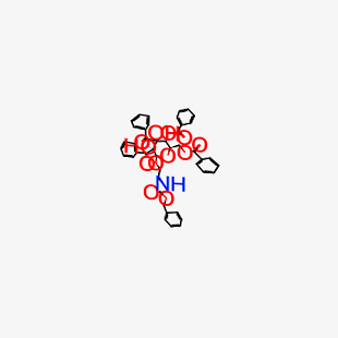 O=C(NCCO[C@@H]1O[C@H](COC(=O)c2ccccc2)[C@H](OC(=O)c2ccccc2)[C@@](O)(C(=O)c2ccccc2)[C@]1(O)C(=O)c1ccccc1)OCc1ccccc1